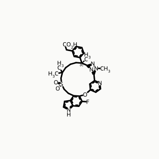 Cn1nc2nc1-c1cc(ccn1)Oc1c(F)cc3[nH]ccc3c1CCS(=O)(=O)CC(C)(C)CCC[C@]2(C)c1cccc(CC(=O)O)c1